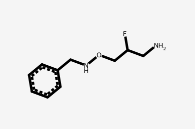 NCC(F)CONCc1ccccc1